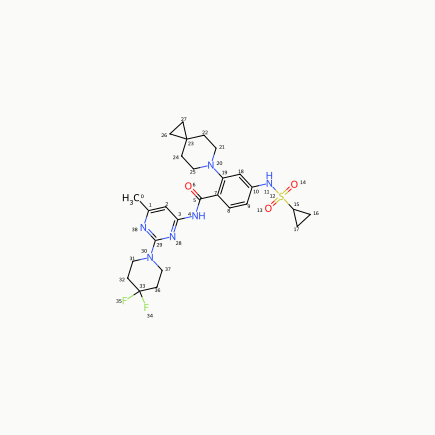 Cc1cc(NC(=O)c2ccc(NS(=O)(=O)C3CC3)cc2N2CCC3(CC2)CC3)nc(N2CCC(F)(F)CC2)n1